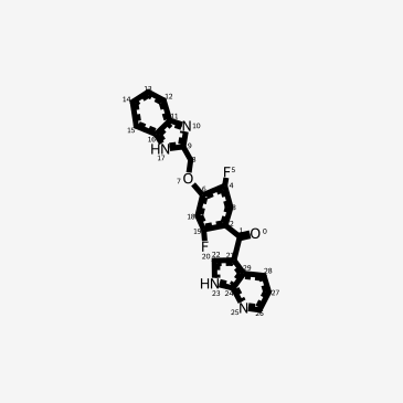 O=C(c1cc(F)c(OCc2nc3ccccc3[nH]2)cc1F)c1c[nH]c2ncccc12